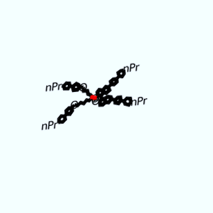 CCCC1CCC(c2ccc(OCCCCCCOc3ccc4cc(-c5ccc(C6CCC(CCC)CC6)cc5)ccc4c3-c3c(OCCCCCCOc4ccc(C5CCC(CCC)CC5)cc4)ccc4cc(-c5ccc(C6CCC(CCC)CC6)cc5)ccc34)cc2)CC1